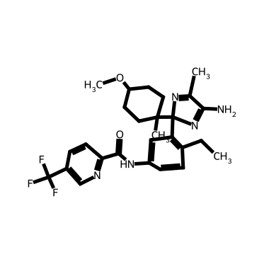 CCc1ccc(NC(=O)c2ccc(C(F)(F)F)cn2)cc1C1(C2(C)CCC(OC)CC2)N=C(C)C(N)=N1